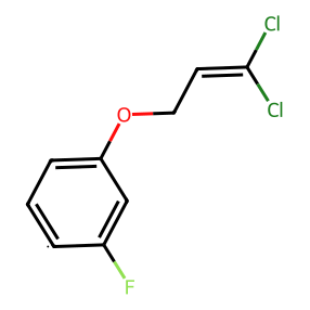 Fc1[c]ccc(OCC=C(Cl)Cl)c1